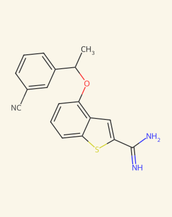 CC(Oc1cccc2sc(C(=N)N)cc12)c1cccc(C#N)c1